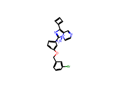 N[N+]12C=CN=CC1=C(C1=CC=C1)N=C2c1cccc(OCc2cccc(Br)c2)c1